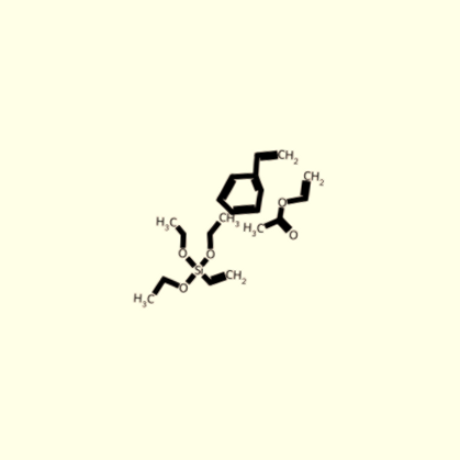 C=COC(C)=O.C=C[Si](OCC)(OCC)OCC.C=Cc1ccccc1